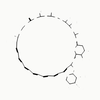 CCOC(=O)C1[C@@H]2CC(O[C@@H]3OC[C@@H](O)[C@H](N)[C@H]3O)/C=C/C=C/C=C/C=C/C=C/C=C/C=C/[C@H](C)[C@@H](O)C[C@H](C)OC(=O)CC(O)CC(O)CCC(O)C(O)CC(O)CC(O)(C[C@@H]1O)O2